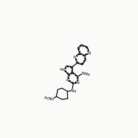 CNc1nc(NC2CCC(NC(C)=O)CC2)nc2[nH]cc(-c3ccc4ncccc4n3)c12